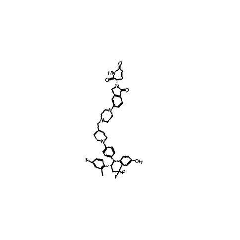 Cc1cc(F)ccc1[C@@H]1CC(F)(F)c2cc(O)ccc2[C@@H]1c1ccc(N2CCC(CN3CCN(c4ccc5c(c4)CN([C@H]4CCC(=O)NC4=O)C5=O)CC3)CC2)cc1